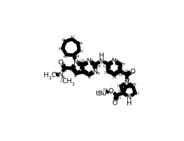 CN(C)C(=O)c1cc2cnc(Nc3ccc(C(=O)N4CC5(C(=O)OC(C)(C)C)CC4CN5)cn3)nc2n1C1CCCCCC1